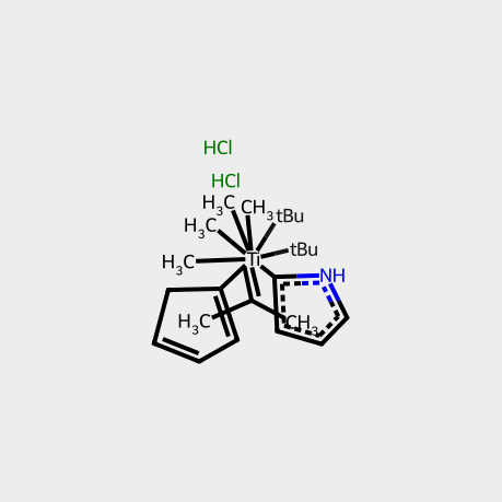 C[C](C)=[Ti]([CH3])([CH3])([CH3])([CH3])([C]1=CC=CC1)([c]1ccc[nH]1)([C](C)(C)C)[C](C)(C)C.Cl.Cl